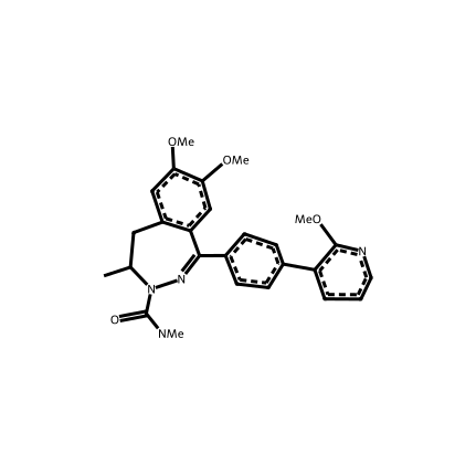 CNC(=O)N1N=C(c2ccc(-c3cccnc3OC)cc2)c2cc(OC)c(OC)cc2CC1C